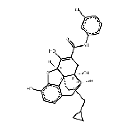 O=C(Nc1cccc(Cl)c1)C1=C(O)[C@@H]2Oc3c(O)ccc4c3[C@@]23CCN(CC2CC2)[C@H](C4)[C@]3(O)C1